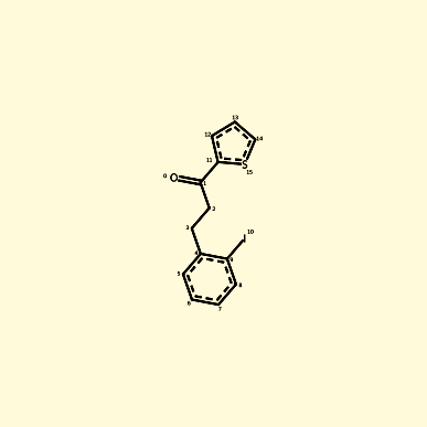 O=C(CCc1ccccc1I)c1cccs1